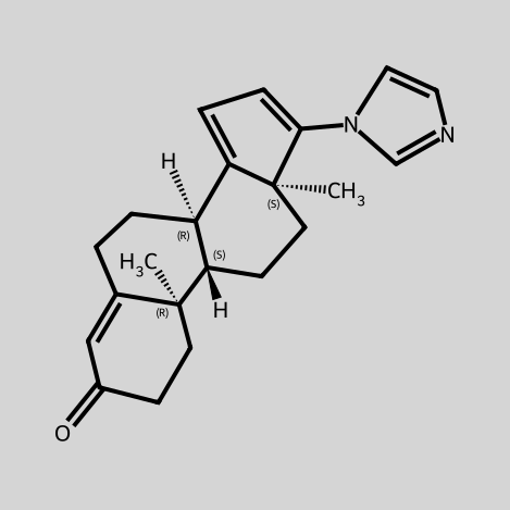 C[C@]12CC[C@H]3[C@@H](CCC4=CC(=O)CC[C@@]43C)C1=CC=C2n1ccnc1